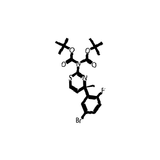 CC(C)(C)OC(=O)N(C(=O)OC(C)(C)C)C1=N[C@](C)(c2cc(Br)ccc2F)C=CS1